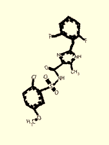 COc1ccc(Cl)c(S(=O)(=O)NC(=O)c2nc(-c3c(F)cccc3F)[nH]c2C)c1